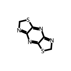 C1N=c2nc3c(nc2S1)=NCS3